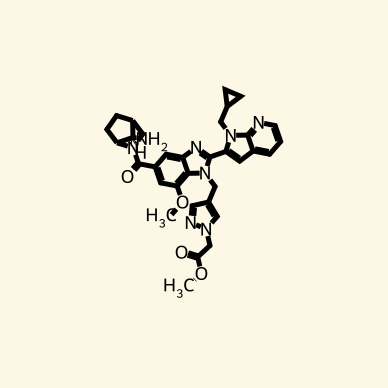 COC(=O)Cn1cc(Cn2c(-c3cc4cccnc4n3CC3CC3)nc3cc(C(=O)N4CC5CCC4[C@@H]5N)cc(OC)c32)cn1